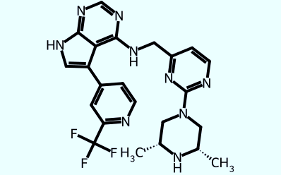 C[C@@H]1CN(c2nccc(CNc3ncnc4[nH]cc(-c5ccnc(C(F)(F)F)c5)c34)n2)C[C@H](C)N1